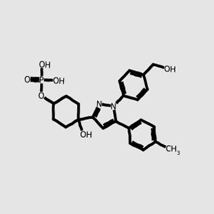 Cc1ccc(-c2cc(C3(O)CCC(OP(=O)(O)O)CC3)nn2-c2ccc(CO)cc2)cc1